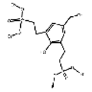 CCOP(=O)(CCc1cc(CO)cc(CCP(=O)(OCC)OCC)c1O)OCC